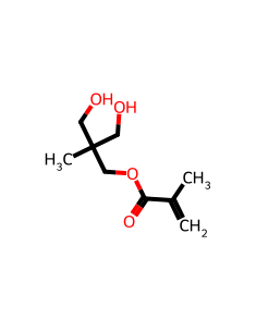 C=C(C)C(=O)OCC(C)(CO)CO